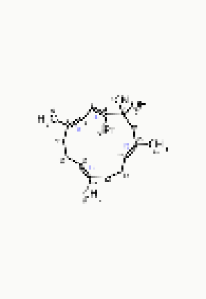 C/C1=C\C=C(/C(C)C)C(O)(C#N)C/C(C)=C/CC/C(C)=C/CC1